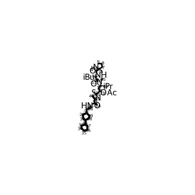 CC[C@H](C)C(NC(=O)[C@@]1(C)CCCN1C)C(=O)N(C)[C@H](C[C@@H](OC(C)=O)c1nc(C(=O)NCCc2ccc(-c3ccccc3)cc2)cs1)C(C)C